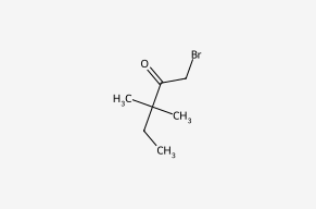 CCC(C)(C)C(=O)CBr